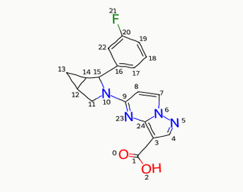 O=C(O)c1cnn2ccc(N3CC4CC4C3c3cccc(F)c3)nc12